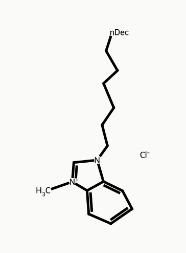 CCCCCCCCCCCCCCCCn1c[n+](C)c2ccccc21.[Cl-]